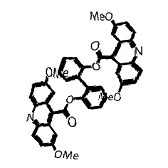 COc1ccc2nc3ccc(OC)cc3c(C(=O)Oc3ccccc3-c3ccccc3OC(=O)c3c4cc(OC)ccc4nc4ccc(OC)cc34)c2c1